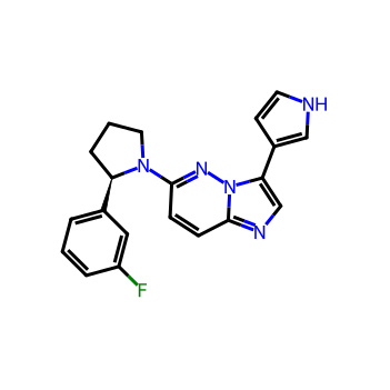 Fc1cccc([C@H]2CCCN2c2ccc3ncc(-c4cc[nH]c4)n3n2)c1